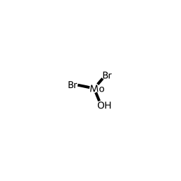 [OH][Mo]([Br])[Br]